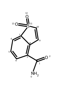 NC(=O)c1cccc2c1C=CS2(=O)=O